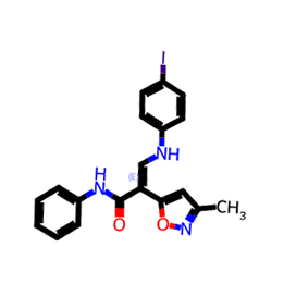 Cc1cc(/C(=C\Nc2ccc(I)cc2)C(=O)Nc2ccccc2)on1